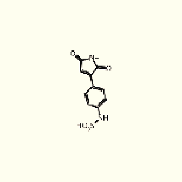 O=C1C=C(c2ccc(NS(=O)(=O)O)cc2)C(=O)N1